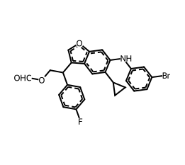 O=COCC(c1ccc(F)cc1)c1coc2cc(Nc3cccc(Br)c3)c(C3CC3)cc12